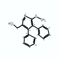 CCc1[c]nc(OC)c(-c2ccccc2)c1-c1ccccc1